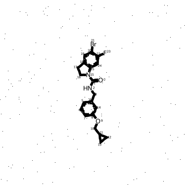 O=C(NCc1cccc(OCC2CC2)c1)N1CCc2cc(Br)c(F)cc21